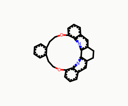 c1ccc2c(c1)CCOc1cccc3cc4c(nc13)-c1nc3c(cccc3cc1CC4)OCC2